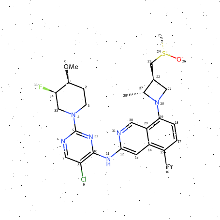 CO[C@H]1CCN(c2ncc(Cl)c(Nc3cc4c(C(C)C)ccc(N5C[C@H](C[S@+](C)[O-])[C@H]5C)c4cn3)n2)C[C@H]1F